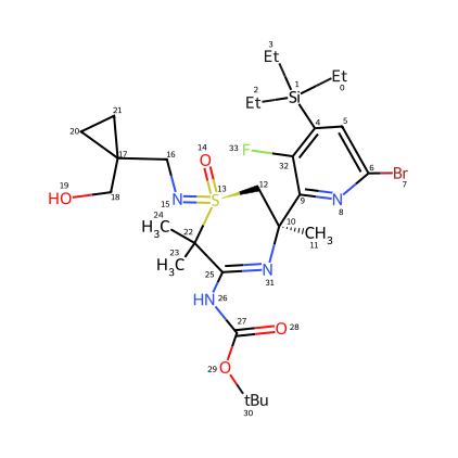 CC[Si](CC)(CC)c1cc(Br)nc([C@]2(C)C[S@](=O)(=NCC3(CO)CC3)C(C)(C)C(NC(=O)OC(C)(C)C)=N2)c1F